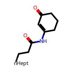 CCCCCCCCCC(=O)NC1=CC(=O)CCC1